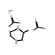 CC(=O)[O-].CC(=O)[O-].CC1CNCCN1.[Zn+2]